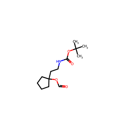 CC(C)(C)OC(=O)NCCC1(OC=O)CCCC1